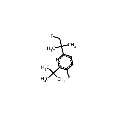 CC(C)(C)c1nc(C(C)(C)CF)ccc1F